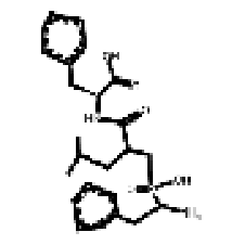 CC(C)CC(CP(=O)(O)C(N)Cc1ccccc1)C(=O)N[C@@H](Cc1ccccc1)C(=O)O